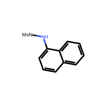 CNNc1cccc2ccccc12